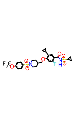 O=C(NS(=O)(=O)C1CC1)c1cc(C2CC2)c(OCC2CCN(S(=O)(=O)c3ccc(OC(F)(F)F)cc3)CC2)cc1F